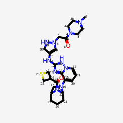 CN1CCN(C(=O)CN2C=C(NC3N=C4C(N5CC6CCCC5N6C(=O)C5CSC5)=CC=CN4N3)CN2)CC1